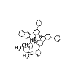 CC1(C)CCC(C)(C)c2cc(Nc3cc4ccccc4cc3-c3cc(-c4ccccc4)cc4c3Bc3cc(-c5ccccc5)cc5c6cc(-c7ccccc7)ccc6n-4c35)ccc21